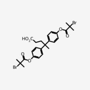 CC(C)(Br)C(=O)Oc1ccc(C(C)(CCC(=O)O)c2ccc(OC(=O)C(C)(C)Br)cc2)cc1